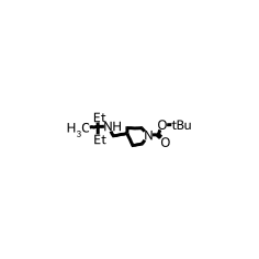 CCC(C)(CC)NCC1CCN(C(=O)OC(C)(C)C)CC1